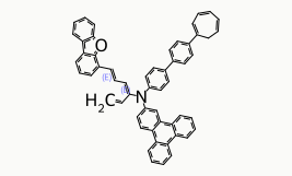 C=C/C(=C\C=C\c1cccc2c1oc1ccccc12)N(c1ccc(-c2ccc(C3=CC=CC=CC3)cc2)cc1)c1ccc2c3ccccc3c3ccccc3c2c1